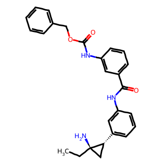 CC[C@@]1(N)C[C@H]1c1cccc(NC(=O)c2cccc(NC(=O)OCc3ccccc3)c2)c1